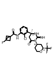 C[C@@]1(c2cccc(NC(=O)C34CC(F)(C3)C4)c2Cl)CC(=O)N([C@@H]2CCO[C@H](C(F)(F)F)C2)C(=N)N1